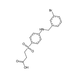 O=C(O)CCS(=O)(=O)c1ccc(NCc2cccc(Br)c2)cc1